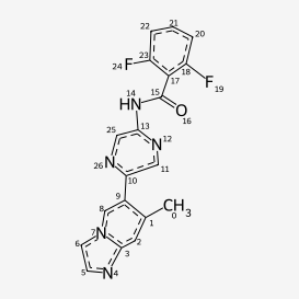 Cc1cc2nccn2cc1-c1cnc(NC(=O)c2c(F)cccc2F)cn1